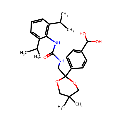 CC(C)c1cccc(C(C)C)c1NC(=O)NCC1(c2ccc(C(O)O)cc2)OCC(C)(C)CO1